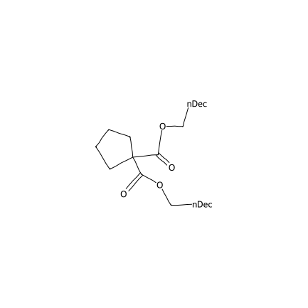 CCCCCCCCCCCOC(=O)C1(C(=O)OCCCCCCCCCCC)CCCC1